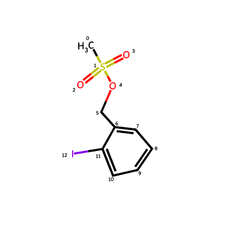 CS(=O)(=O)OCc1ccccc1I